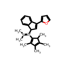 CC1=C(C)C(C)[C]([Zr]([CH]2C=C(c3ccco3)c3ccccc32)=[Si](C)C)=C1C